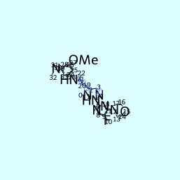 C=NC(/C=N\Nc1ncc(F)c(N2CCOCC2)n1)=C\C=C(/C)Nc1cc(OC)cc(N(C)C)c1